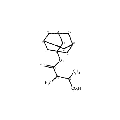 CC(C(=O)O)C(C)C(=O)OC12CC3CC(CC(C3)C1)C2